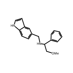 COCC(NCc1ccc2[nH]ccc2c1)c1ccccc1